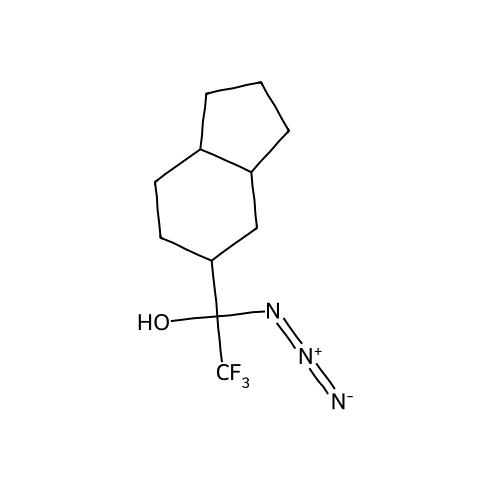 [N-]=[N+]=NC(O)(C1CCC2CCCC2C1)C(F)(F)F